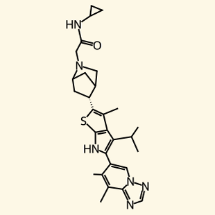 Cc1c(-c2[nH]c3sc([C@@H]4CC5CC4CN5CC(=O)NC4CC4)c(C)c3c2C(C)C)cn2ncnc2c1C